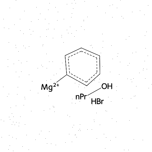 Br.CCCO.[Mg+2][c]1ccccc1